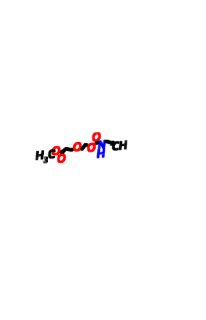 C#CCNC(=O)OCCOCCC(=O)OC